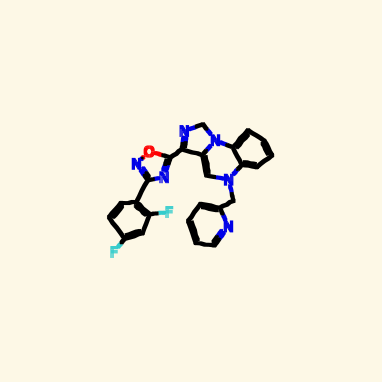 Fc1ccc(-c2noc(C3=NCN4C3=CN(Cc3ccccn3)c3ccccc34)n2)c(F)c1